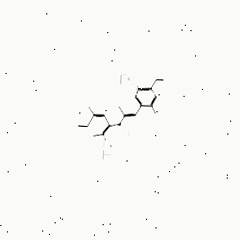 CC/C(C)=C\C(C(=O)/C(C)=C/c1cc(OF)c(CC)cc1C)=C(/C)N